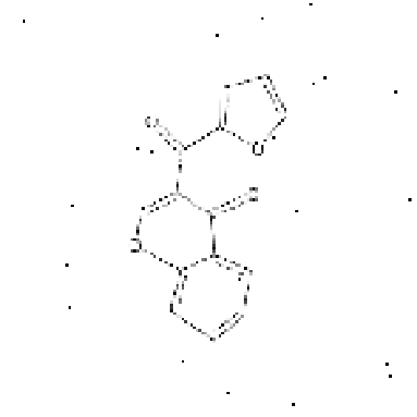 O=C(c1ccco1)c1coc2ccccc2c1=O